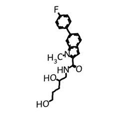 Cn1c(C(=O)NCC(O)CCCO)cc2ccc(-c3ccc(F)cc3)cc21